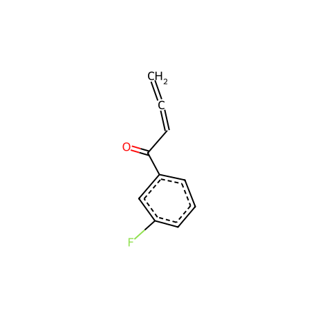 C=C=CC(=O)c1cccc(F)c1